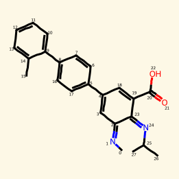 C/N=C1/C=C(c2ccc(-c3ccccc3C)cc2)C=C(C(=O)O)/C1=N/C(C)C